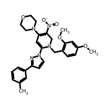 COc1ccc(CN2CC([N+](=O)[O-])=C(N3CCOCC3)C=C2n2ccc(-c3cccc(C)c3)n2)c(OC)c1